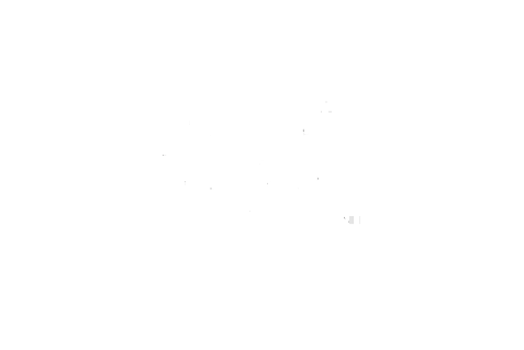 Nc1cccc(/C(=C\C(=O)O)c2ccccc2)c1